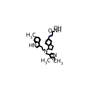 Cc1ccc2c(CCN(Cc3cnn(C)c3C)C3CCc4cc(/C=C/C(=O)NO)ccc43)c[nH]c2c1